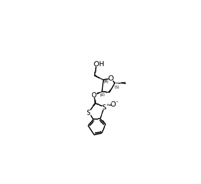 C[C@H]1C[C@@H](OC2Sc3ccccc3[S+]2[O-])[C@@H](CO)O1